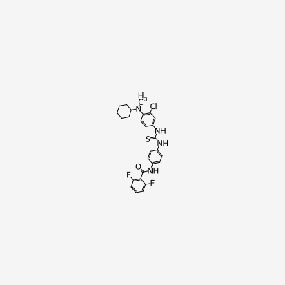 CN(c1ccc(NC(=S)Nc2ccc(NC(=O)c3c(F)cccc3F)cc2)cc1Cl)C1CCCCC1